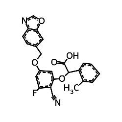 Cc1ccccc1C(Oc1cc(OCc2ccc3ncoc3c2)cc(F)c1C#N)C(=O)O